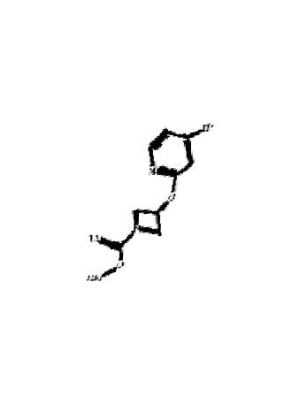 CC(C)(C)OC(=O)N1CC(Oc2cc(Br)ccn2)C1